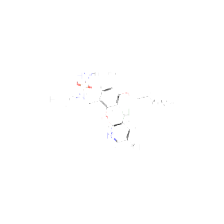 CCCCCCNS(=O)(=O)N(Cc1ccc(OCCOC)cc1Oc1ncc(C(F)(F)F)cc1Cl)C(=O)O